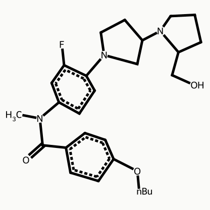 CCCCOc1ccc(C(=O)N(C)c2ccc(N3CCC(N4CCCC4CO)C3)c(F)c2)cc1